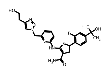 CC(C)(O)c1ccc(C2CC(C(N)=O)=C(Nc3cccc(Cn4cc(CCO)nn4)n3)S2)c(F)c1